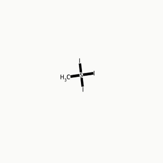 CS(I)(I)I